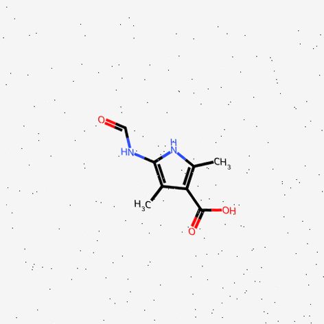 Cc1[nH]c(NC=O)c(C)c1C(=O)O